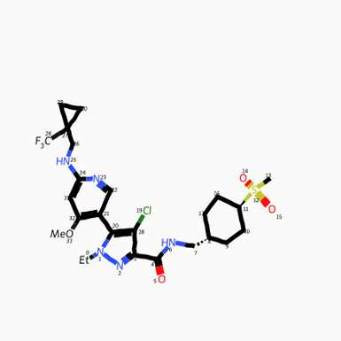 CCn1nc(C(=O)NC[C@H]2CC[C@H](S(C)(=O)=O)CC2)c(Cl)c1-c1cnc(NCC2(C(F)(F)F)CC2)cc1OC